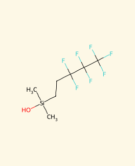 C[Si](C)(O)CCC(F)(F)C(F)(F)C(F)(F)F